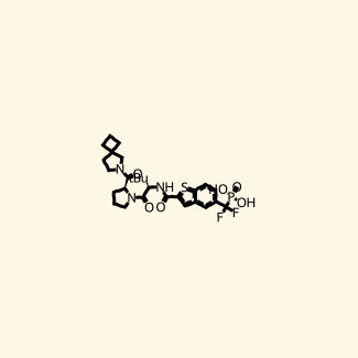 CC(C)(C)[C@H](NC(=O)c1cc2cc(C(F)(F)P(=O)(O)O)ccc2s1)C(=O)N1CCC[C@H]1C(=O)N1CCC2(CCC2)C1